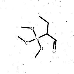 CCC(C=O)[Si](OC)(OC)OC